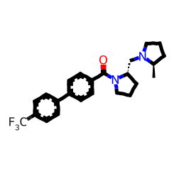 C[C@@H]1CCCN1C[C@@H]1CCCN1C(=O)c1ccc(-c2ccc(C(F)(F)F)cc2)cc1